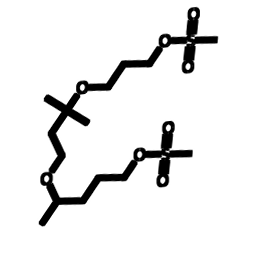 CC(CCCOS(C)(=O)=O)OCCC(C)(C)OCCCOS(C)(=O)=O